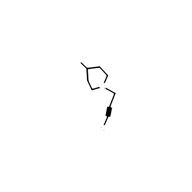 NC#CCN1CCC(F)CC1